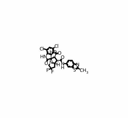 Cc1nc2ccc(NC(=O)[C@H]3[C@H]4CC(F)(F)CN4[C@]4(C(=O)Nc5c(Cl)cc(Cl)cc54)[C@H]3C(=O)O)cc2s1